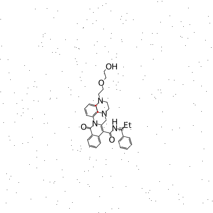 CC[C@H](NC(=O)c1c(CN2CCN(CCOCCO)CC2)n(-c2ccccc2)c(=O)c2ccccc12)c1ccccc1